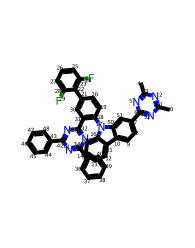 Cc1nc(C)nc(-c2ccc3c4ccccc4n(-c4ccc(-c5c(F)cccc5F)cc4-c4nc(-c5ccccc5)nc(-c5ccccc5)n4)c3c2)n1